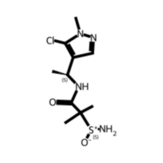 C[C@H](NC(=O)C(C)(C)[S@+](N)[O-])c1cnn(C)c1Cl